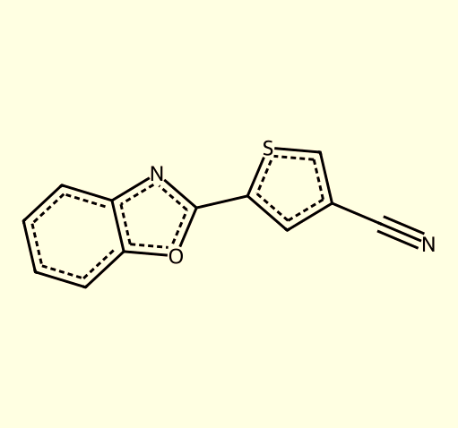 N#Cc1csc(-c2nc3ccccc3o2)c1